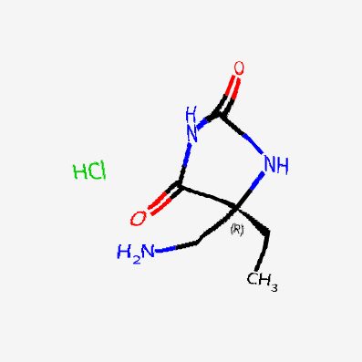 CC[C@]1(CN)NC(=O)NC1=O.Cl